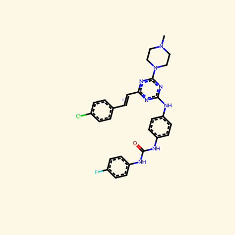 CN1CCN(c2nc(/C=C/c3ccc(Cl)cc3)nc(Nc3ccc(NC(=O)Nc4ccc(F)cc4)cc3)n2)CC1